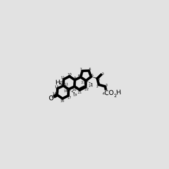 CC(CCC(=O)O)[C@H]1CCC2C3CC[C@@H]4CC(=O)CC[C@]4(C)C3C=C[C@@]21C